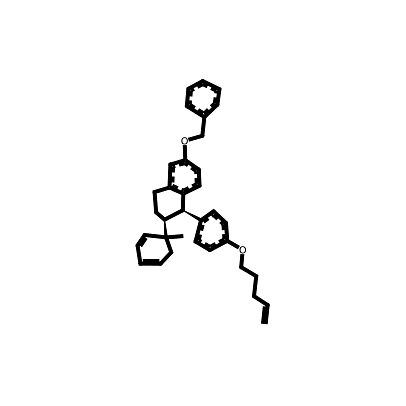 C=CCCCOc1ccc([C@@H]2c3ccc(OCc4ccccc4)cc3CC[C@@H]2C2(C)C=CC=CC2)cc1